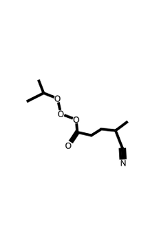 CC(C#N)CCC(=O)OOOC(C)C